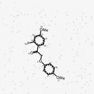 COc1ccc(OCC(=O)c2ccc(OC)cc2F)cc1